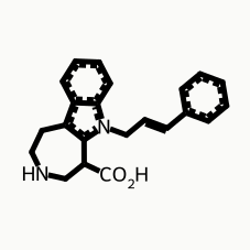 O=C(O)C1CNCCc2c1n(CC=Cc1ccccc1)c1ccccc21